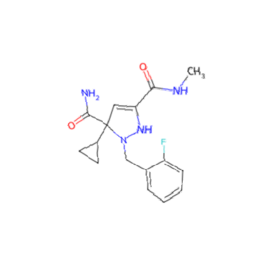 CNC(=O)C1=CC(C(N)=O)(C2CC2)N(Cc2ccccc2F)N1